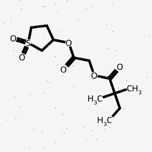 CCC(C)(C)C(=O)OCC(=O)OC1CCS(=O)(=O)C1